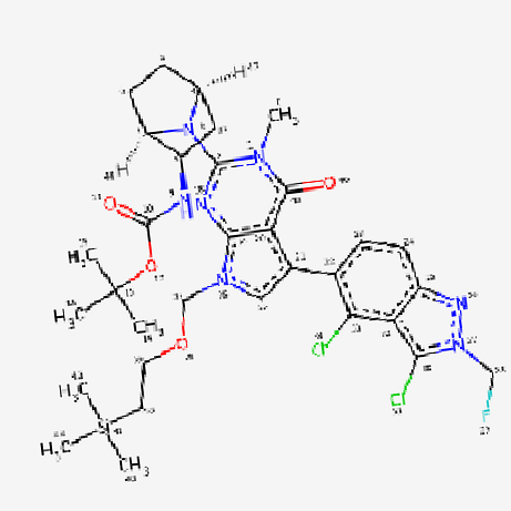 Cn1c(N2[C@H]3CC[C@@H]2[C@H](NC(=O)OC(C)(C)C)C3)nc2c(c(-c3ccc4nn(CF)c(Cl)c4c3Cl)cn2COCC[Si](C)(C)C)c1=O